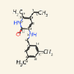 CCc1cc(NCc2cc(C)cc(C)c2)c(=O)[nH]c1C